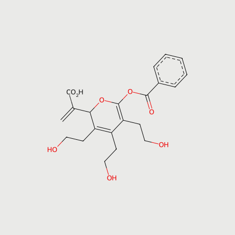 C=C(C(=O)O)C1OC(OC(=O)c2ccccc2)=C(CCO)C(CCO)=C1CCO